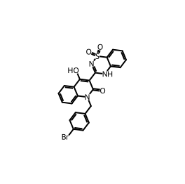 O=c1c(C2=NS(=O)(=O)c3ccccc3N2)c(O)c2ccccc2n1Cc1ccc(Br)cc1